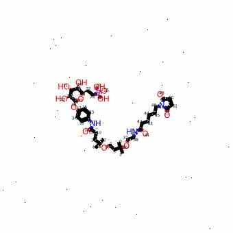 CC(C)(CCOC(C)(C)CCC(=O)Nc1ccc(O[C@H]2O[C@H](CCP(=O)(O)O)[C@@H](O)[C@H](O)[C@@H]2O)cc1)OCCNC(=O)CCCCCN1C(=O)C=CC1=O